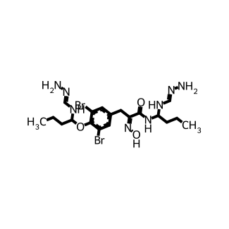 CCCC(NC=NN)NC(=O)C(Cc1cc(Br)c(OC(CCC)NC=NN)c(Br)c1)=NO